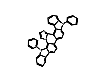 c1ccc(-n2c3ccccc3c3c4c(ccc32)c2ccc3c5ccccc5n(-c5ccccc5)c3c2n2ccnc42)cc1